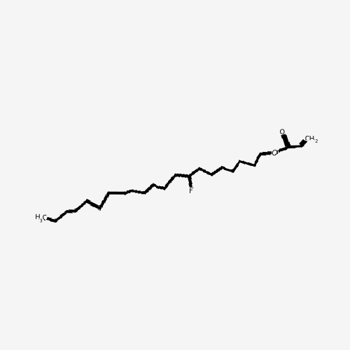 C=CC(=O)OCCCCCCCC(F)CCCCCCCCCCCCC